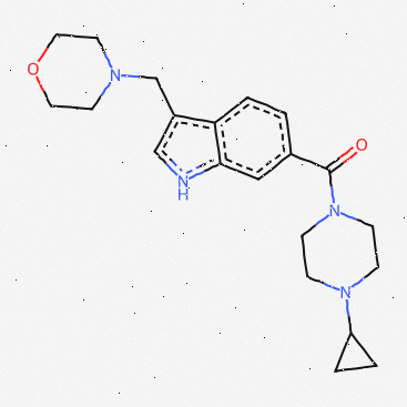 O=C(c1ccc2c(CN3CCOCC3)c[nH]c2c1)N1CCN(C2CC2)CC1